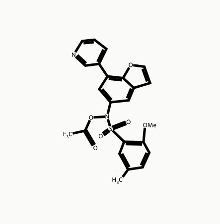 COc1ccc(C)cc1S(=O)(=O)N(OC(=O)C(F)(F)F)c1cc(-c2cccnc2)c2occc2c1